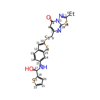 CCc1nn2c(=O)cc(CSc3cc4ccc(NC(O)c5cccs5)cc4s3)nc2s1